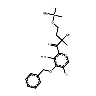 COc1c(C(=O)C(C)(O)CCO[Si](C)(C)C(C)(C)C)ncc(Br)c1OCc1ccccc1